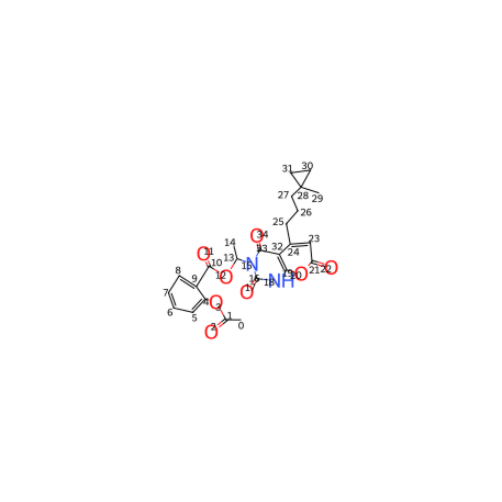 CC(=O)Oc1ccccc1C(=O)OC(C)n1c(=O)[nH]c2oc(=O)cc(CCCC3(C)CC3)c2c1=O